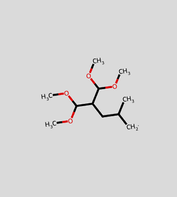 [CH2]C(C)CC(C(OC)OC)C(OC)OC